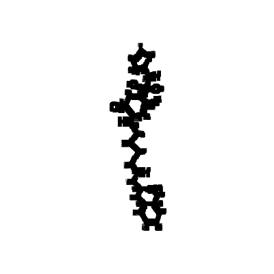 O=S(=O)(Nc1nccs1)c1cc(Cl)c(NCCCCNC[C@@H]2Cc3ccccc3CN2)cc1F